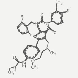 CCNC(=O)Nc1ccc(-c2sc3c(c2CN(C)CCOC)c(=O)n(-c2ccc(F)c(C)c2)c(=O)n3Cc2c(F)cccc2F)cc1